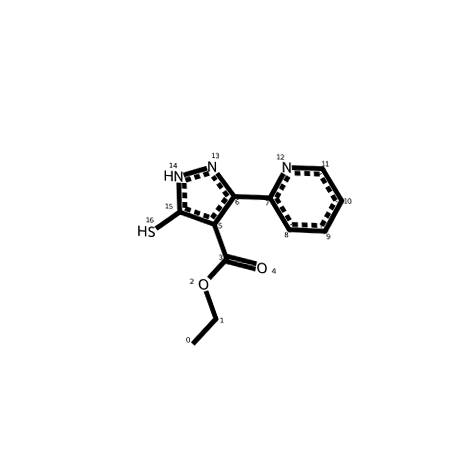 CCOC(=O)c1c(-c2ccccn2)n[nH]c1S